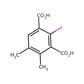 Cc1cc(C(=O)O)c(I)c(C(=O)O)c1C